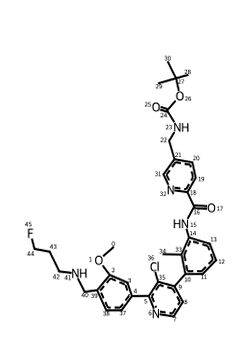 COc1cc(-c2nccc(-c3cccc(NC(=O)c4ccc(CNC(=O)OC(C)(C)C)cn4)c3C)c2Cl)ccc1CNCCCF